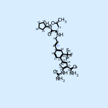 CC(C)C[C@H](NC/C=C/c1ccc(-c2cc(C(N)=O)c(NC(N)=O)s2)c(C(F)(F)F)c1)C(=O)OC1CCCC1